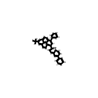 CC(C)(C)c1cc2ccc3c(-c4ccccc4)cc(-c4ccc5cc(-c6ccccc6)ccc5n4)c4ccc(c1)c2c34